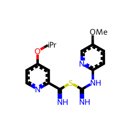 COc1ccc(NC(=N)SC(=N)c2cc(OC(C)C)ccn2)nc1